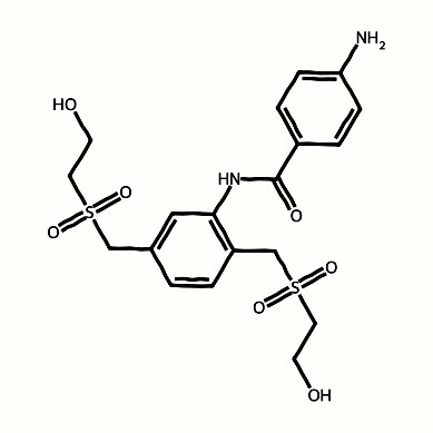 Nc1ccc(C(=O)Nc2cc(CS(=O)(=O)CCO)ccc2CS(=O)(=O)CCO)cc1